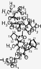 CC[C@H](C)[C@@H]([C@@H](CC(=O)N1CCC[C@H]1[C@H](OC)[C@@H](C)C(=O)N[C@@H](Cc1ccccc1)C(=O)NCCC[Si](C)(C)OC)OC)N(C)C(=O)[C@@H](NC(=O)[C@H](C(C)C)N(C)C)C(C)C